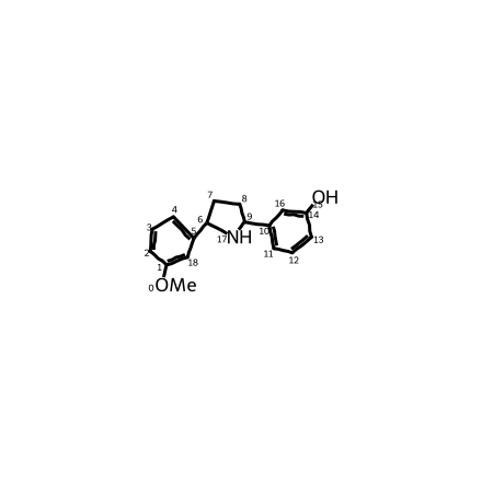 COc1cccc(C2CCC(c3cccc(O)c3)N2)c1